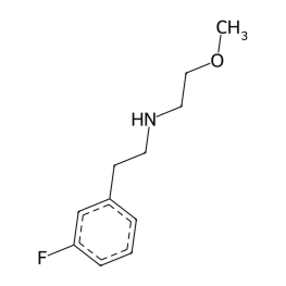 COCCNCCc1cccc(F)c1